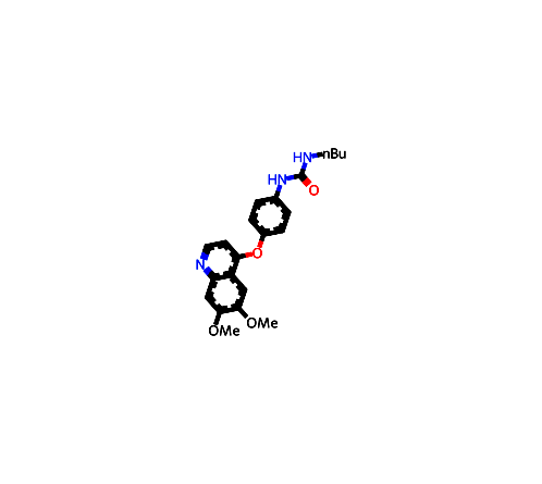 CCCCNC(=O)Nc1ccc(Oc2ccnc3cc(OC)c(OC)cc23)cc1